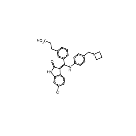 O=C(O)CCc1cccc(C(Nc2ccc(CN3CCC3)cc2)=C2C(=O)Nc3cc(Cl)ccc32)c1